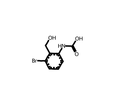 O=C(O)Nc1cccc(Br)c1CO